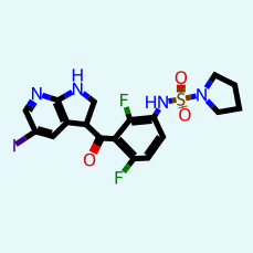 O=C(c1c(F)ccc(NS(=O)(=O)N2CCCC2)c1F)C1CNc2ncc(I)cc21